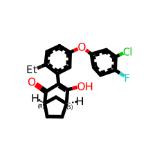 CCc1ccc(Oc2ccc(F)c(Cl)c2)cc1C1=C(O)[C@H]2CC[C@H](C2)C1=O